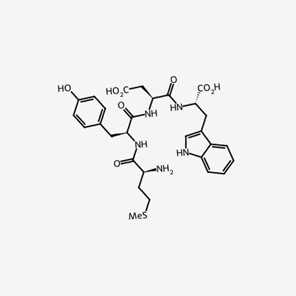 CSCC[C@H](N)C(=O)N[C@@H](Cc1ccc(O)cc1)C(=O)N[C@@H](CC(=O)O)C(=O)N[C@@H](Cc1c[nH]c2ccccc12)C(=O)O